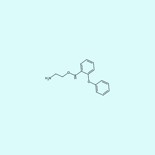 NCCOBc1ccccc1Oc1ccccc1